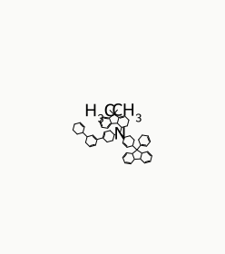 CC1(C)C2=CCCC(N(C3C=CC(C4(C5=CC=CCC5)C5C=CC=CC5C5C=CC=CC54)CC3)C3CC=C(C4=CC(C5C=CCCC5)CC=C4)CC3)C2c2ccccc21